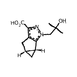 CC(C)(O)Cn1nc(C(=O)O)c2c1[C@@H]1C[C@@H]1C2